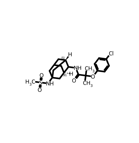 CC(C)(Oc1ccc(Cl)cc1)C(=O)NC1[C@@H]2CC3C[C@H]1CC(NS(C)(=O)=O)(C3)C2